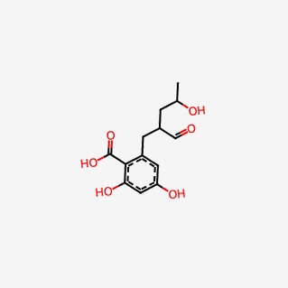 CC(O)CC(C=O)Cc1cc(O)cc(O)c1C(=O)O